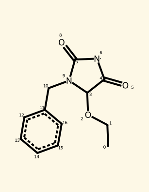 CCOC1C(=O)[N]C(=O)N1Cc1ccccc1